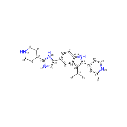 Cc1cc(-c2[nH]c3ccc(-c4cnc(C5CCNCC5)[nH]4)cc3c2C(C)C)ccn1